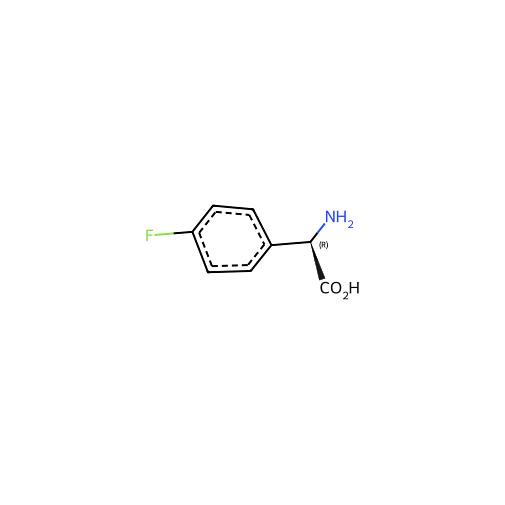 N[C@@H](C(=O)O)c1ccc(F)cc1